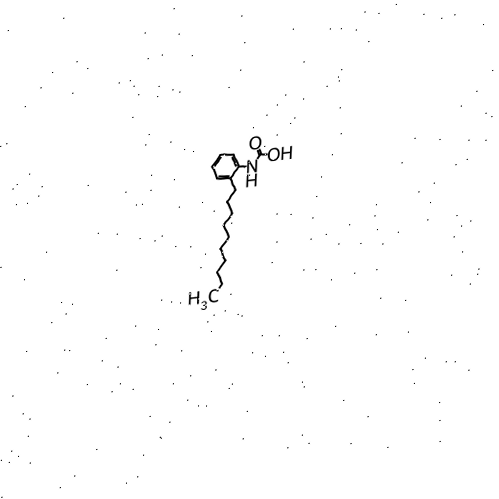 CCCCCCCCCCc1ccccc1NC(=O)O